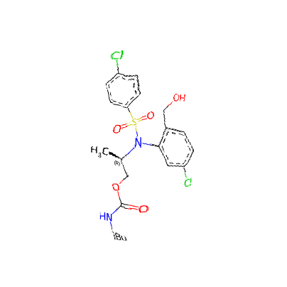 CCC(C)NC(=O)OC[C@@H](C)N(c1cc(Cl)ccc1CO)S(=O)(=O)c1ccc(Cl)cc1